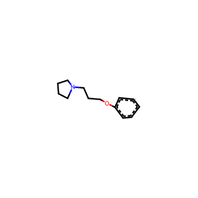 [c]1cccc(OCCCN2CCCC2)c1